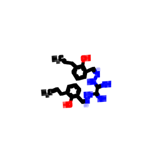 C=CCc1cccc(/C=N\NC(=N)C(=N)N/N=C\c2cccc(CC=C)c2O)c1O